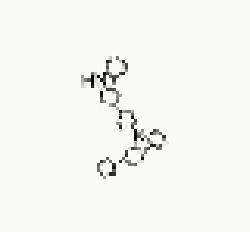 c1ccc(-c2ccc3c4ccccc4n(-c4ccc(-c5ccc6[nH]c7ccccc7c6c5)cc4)c3c2)cc1